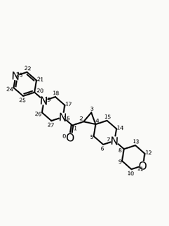 O=C(C1CC12CCN(C1CCOCC1)CC2)N1CCN(c2ccncc2)CC1